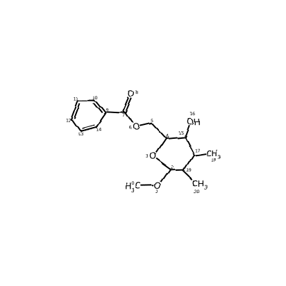 COC1OC(COC(=O)c2ccccc2)C(O)C(C)C1C